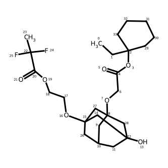 CCC1(OC(=O)COC23CC4CC(O)(CC(OCCOC(=O)C(C)(F)F)(C4)C2)C3)CCCCC1